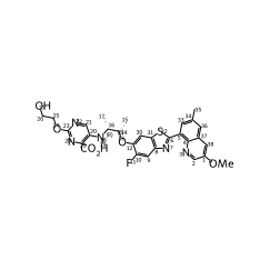 COc1cnc2c(-c3nc4cc(F)c(O[C@@H](C)[C@@H](C)N(C(=O)O)c5cnc(OCCO)nc5)cc4s3)cc(C)cc2c1